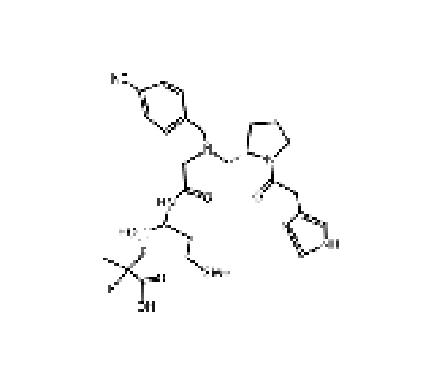 CSCCC(NC(=O)CN(Cc1ccc(C#N)cc1)C[C@@H]1CCCN1C(=O)Cc1c[nH]cn1)C(=O)O.O=C(O)C(F)(F)F